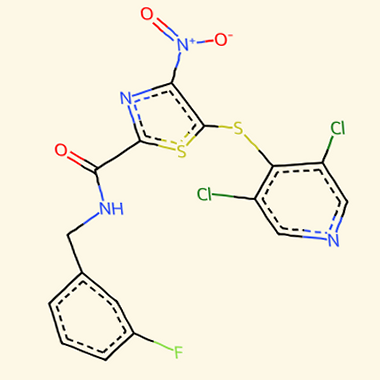 O=C(NCc1cccc(F)c1)c1nc([N+](=O)[O-])c(Sc2c(Cl)cncc2Cl)s1